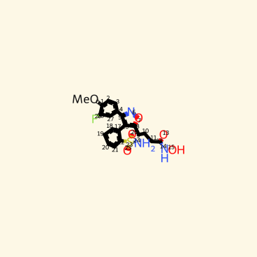 COc1ccc(-c2noc(CCCC(=O)NO)c2-c2ccccc2S(N)(=O)=O)cc1F